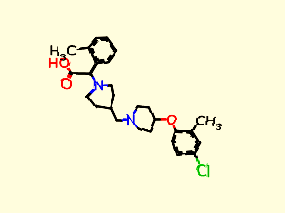 Cc1cc(Cl)ccc1OC1CCN(CC2CCN(C(C(=O)O)c3ccccc3C)CC2)CC1